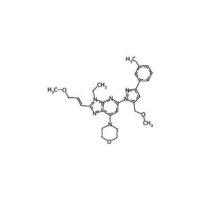 CCn1c(C=CCOC)nc2c(N3CCOCC3)cc(-n3nc(-c4cccc(C)c4)cc3COC)nc21